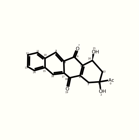 CC(=O)C1(O)CC2=C(C(=O)c3cc4ccccc4cc3C2=O)[C@@H](O)C1